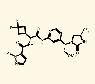 COC[C@H](c1ccnc(NC(=O)[C@@H](NC(=O)c2ccnn2C(C)C)C2CC(F)(F)C2)c1)N1C[C@@H](C(F)(F)F)NC1=O